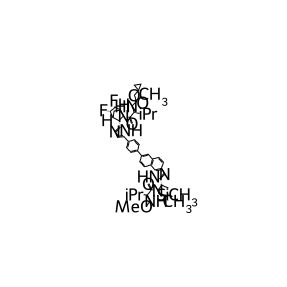 CON[C@H](C(=O)N1C[Si](C)(C)C[C@H]1c1nc2ccc3cc(-c4ccc(-c5cnc([C@@H]6[C@@H]7C[C@@H]([C@@H](F)[C@H]7F)N6C(=O)[C@@H](NC(=O)OC6(C)CC6)C(C)C)[nH]5)cc4)ccc3c2[nH]1)C(C)C